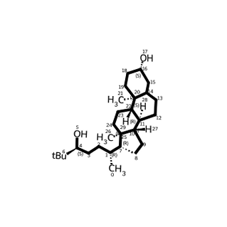 C[C@H](CC[C@H](O)C(C)(C)C)[C@H]1CC[C@H]2[C@@H]3CCC4C[C@@H](O)CC[C@]4(C)[C@H]3CC[C@]12C